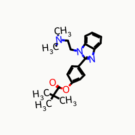 CN(C)CCn1c(-c2ccc(OC(=O)C(C)(C)C)cc2)nc2ccccc21